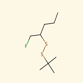 CCCC(CF)SSC(C)(C)C